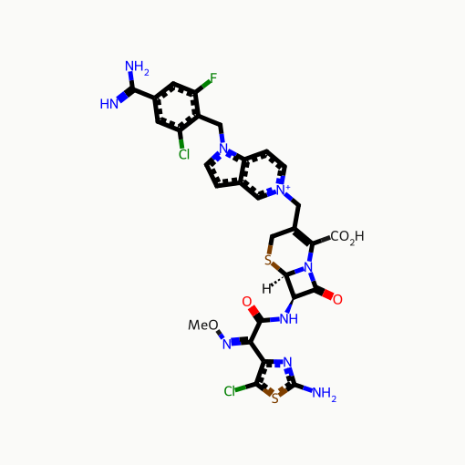 CO/N=C(\C(=O)N[C@@H]1C(=O)N2C(C(=O)O)=C(C[n+]3ccc4c(ccn4Cc4c(F)cc(C(=N)N)cc4Cl)c3)CS[C@H]12)c1nc(N)sc1Cl